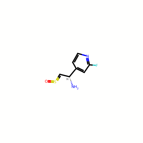 N[C@H](C=S=O)c1ccnc(F)c1